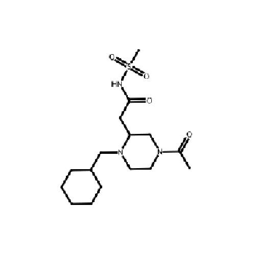 CC(=O)N1CCN(CC2CCCCC2)C(CC(=O)NS(C)(=O)=O)C1